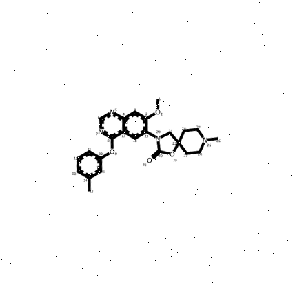 COc1cc2ncnc(Oc3cccc(C)c3)c2cc1N1CC2(CCN(C)CC2)OC1=O